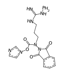 N=C(NP)NCCCN(C(=O)On1ccnc1)N1C(=O)c2ccccc2C1=O